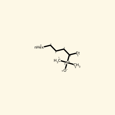 CCCCCCCCCC(CC)[N+](C)(C)[O-]